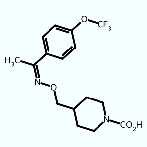 CC(=NOCC1CCN(C(=O)O)CC1)c1ccc(OC(F)(F)F)cc1